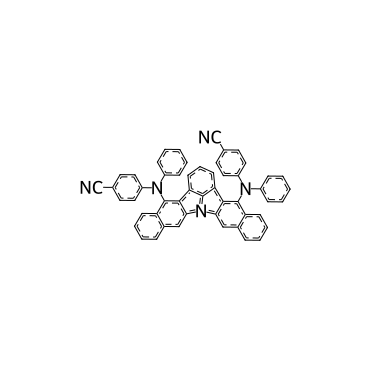 N#Cc1ccc(N(c2ccccc2)c2c3ccccc3cc3c2c2cccc4c5c(N(c6ccccc6)c6ccc(C#N)cc6)c6ccccc6cc5n3c24)cc1